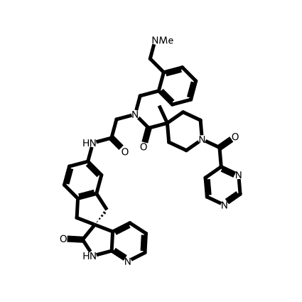 CNCc1ccccc1CN(CC(=O)Nc1ccc2c(c1)C[C@@]1(C2)C(=O)Nc2ncccc21)C(=O)C1(C)CCN(C(=O)c2ccncn2)CC1